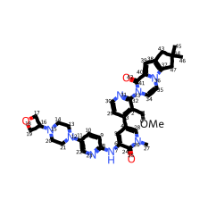 COCc1c(-c2cc(Nc3ccc(N4CCN(C5COC5)CC4)cn3)c(=O)n(C)c2)ccnc1-n1ccn2c3c(cc2c1=O)CC(C)(C)C3